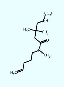 C=CCCCN(C)C(=O)CC(C)(C)CNC(=O)O